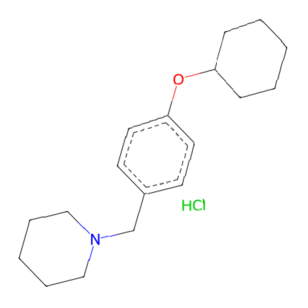 Cl.c1cc(OC2CCCCC2)ccc1CN1CCCCC1